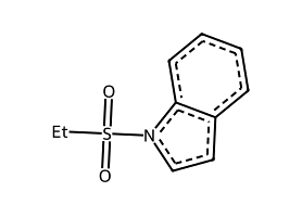 CCS(=O)(=O)n1ccc2ccccc21